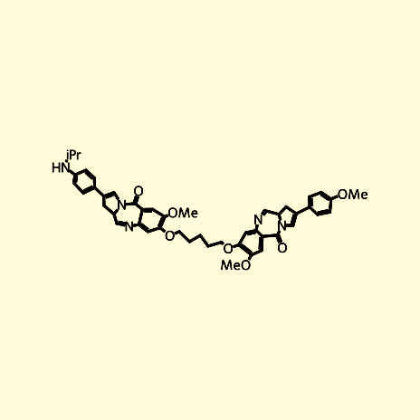 COc1ccc(C2=CN3C(=O)c4cc(OC)c(OCCCCCOc5cc6c(cc5OC)C(=O)N5C=C(c7ccc(NC(C)C)cc7)CC5C=N6)cc4N=CC3C2)cc1